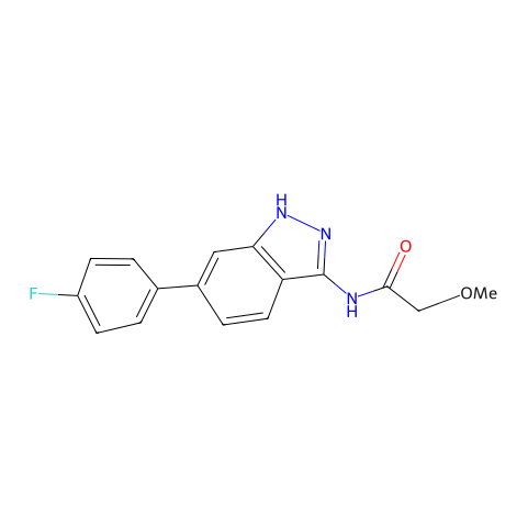 COCC(=O)Nc1n[nH]c2cc(-c3ccc(F)cc3)ccc12